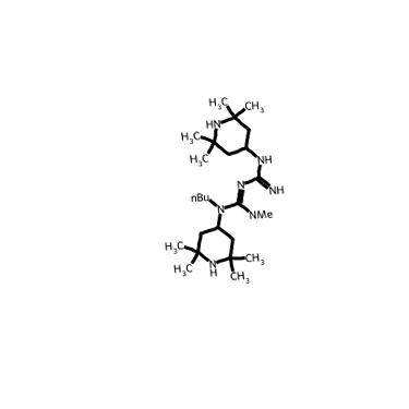 CCCCN(/C(=N/C(=N)NC1CC(C)(C)NC(C)(C)C1)NC)C1CC(C)(C)NC(C)(C)C1